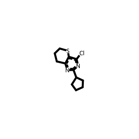 Clc1nc(C2CCCC2)nc2c1SCCC2